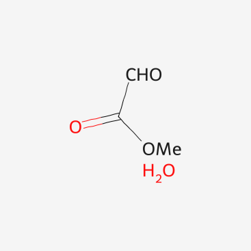 COC(=O)C=O.O